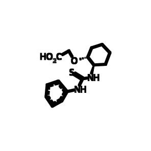 O=C(O)CO[C@@H]1CCCC[C@H]1NC(=S)Nc1ccccc1